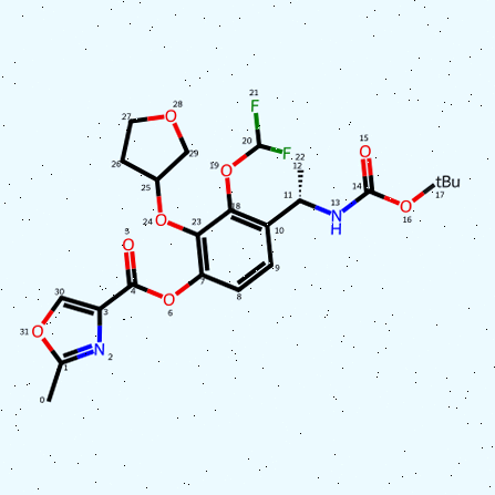 Cc1nc(C(=O)Oc2ccc([C@H](C)NC(=O)OC(C)(C)C)c(OC(F)F)c2OC2CCOC2)co1